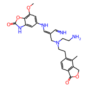 COc1cc(N/C=C(\C=N)CN(CCN)CCc2ccc3c(c2C)COC3=O)cc2[nH]c(=O)oc12